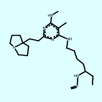 C=PNC(CC)CCCCNc1nc(CCC23CCCN2CCC3)nc(NC)c1C